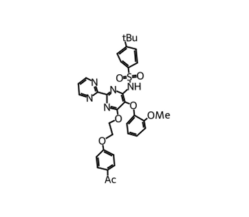 COc1ccccc1Oc1c(NS(=O)(=O)c2ccc(C(C)(C)C)cc2)nc(-c2ncccn2)nc1OCCOc1ccc(C(C)=O)cc1